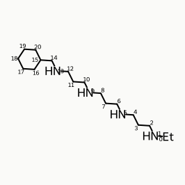 CCNCCCNCCCNCCCNCC1CCCCC1